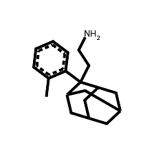 Cc1ccccc1C1(CCN)C2CC3CC(C2)CC1C3